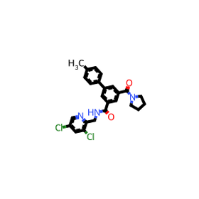 Cc1ccc(-c2cc(C(=O)NCc3ncc(Cl)cc3Cl)cc(C(=O)N3CCCC3)c2)cc1